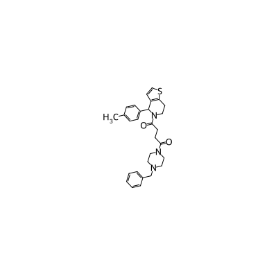 Cc1ccc(C2c3ccsc3CCN2C(=O)CCC(=O)N2CCN(Cc3ccccc3)CC2)cc1